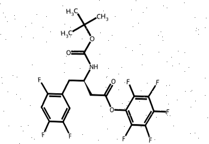 CC(C)(C)OC(=O)N[C@@H](CC(=O)Oc1c(F)c(F)c(F)c(F)c1F)Cc1cc(F)c(F)cc1F